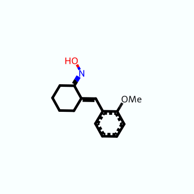 COc1ccccc1/C=C1\CCCC\C1=N/O